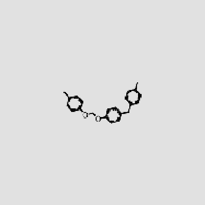 Cc1ccc(Cc2ccc(OCOc3ccc(C)cc3)cc2)cc1